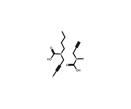 C#CCN(I)C(=O)O.CCCCN(CC#CI)C(=O)O